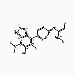 C\C=C(/N=C(C)/C=C\C(=C/C)c1c(C)c(F)c(N(C)C)c2[nH]ncc12)NC